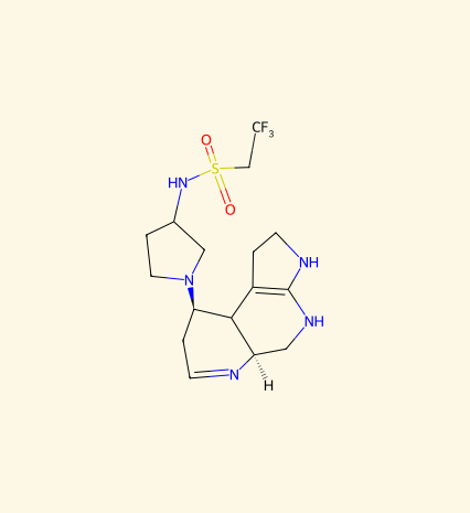 O=S(=O)(CC(F)(F)F)NC1CCN([C@@H]2CC=N[C@@H]3CNC4=C(CCN4)C23)C1